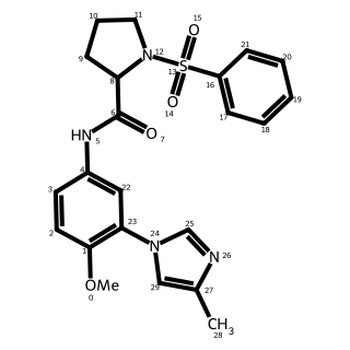 COc1ccc(NC(=O)C2CCCN2S(=O)(=O)c2ccccc2)cc1-n1cnc(C)c1